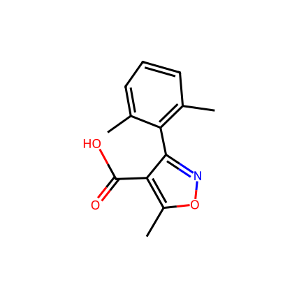 Cc1cccc(C)c1-c1noc(C)c1C(=O)O